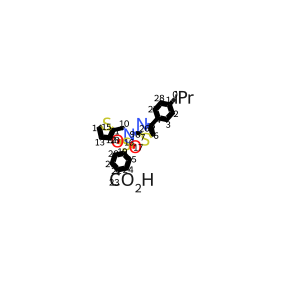 CC(C)c1ccc(-c2csc(N(Cc3cccs3)S(=O)(=O)c3ccc(C(=O)O)cc3)n2)cc1